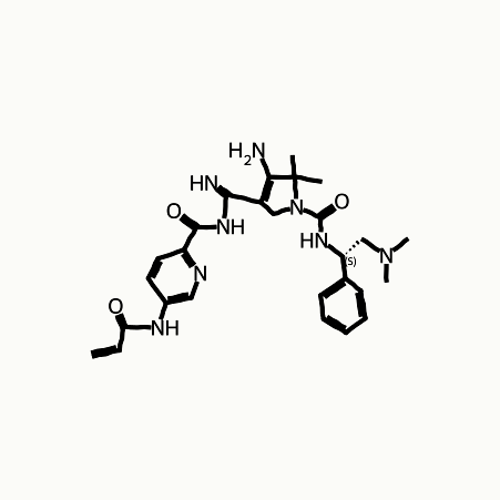 C=CC(=O)Nc1ccc(C(=O)NC(=N)C2=C(N)C(C)(C)N(C(=O)N[C@H](CN(C)C)c3ccccc3)C2)nc1